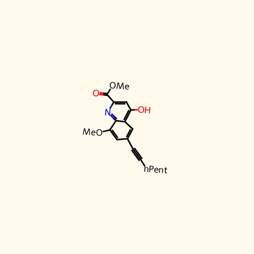 CCCCCC#Cc1cc(OC)c2nc(C(=O)OC)cc(O)c2c1